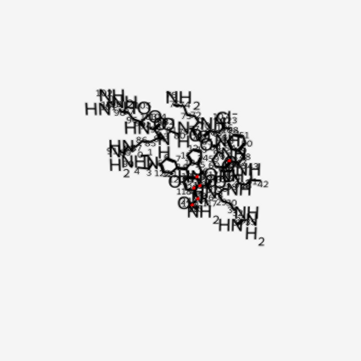 CCN(CC)c1ccc2c(-c3ccccc3C(=O)NC(CCC(N)=O)C(=O)NC(CCCNC(=N)N)C(=O)NC(CC(C)C)C(=O)NC(Cc3ccccc3)C(=O)NC(CCC(N)=O)C(=O)NC(C(=O)NC(CCCCN)C(=O)NCC(=O)NC(CCCNC(=N)N)C(=O)NC(CCCNC(=N)N)C(=O)O)C(C)C)c3ccc(N(CC)CC)cc3[o+]c2c1.[Cl-]